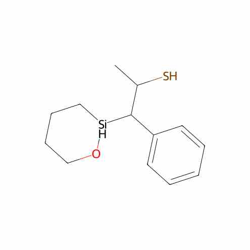 CC(S)C(c1ccccc1)[SiH]1CCCCO1